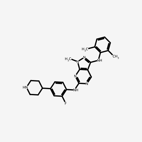 Cc1cccc(C)c1Nc1nn(C)c2nc(Nc3ccc(C4CCNCC4)cc3F)ncc12